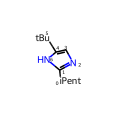 CCCC(C)c1ncc(C(C)(C)C)[nH]1